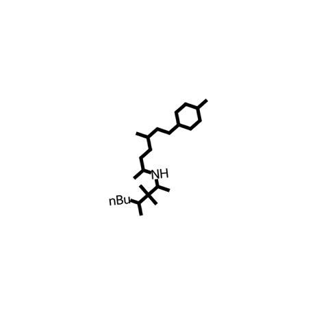 CCCCC(C)C(C)(C)C(C)NC(C)CCC(C)CCC1CCC(C)CC1